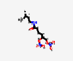 CC(C)CCNC(=O)CCCC(CO[N+](=O)[O-])O[N+](=O)[O-]